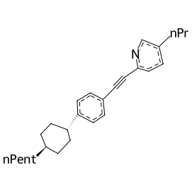 CCCCC[C@H]1CC[C@H](c2ccc(C#Cc3ccc(CCC)cn3)cc2)CC1